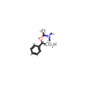 CCC(OC(C(=O)O)c1ccccc1)N(C)C